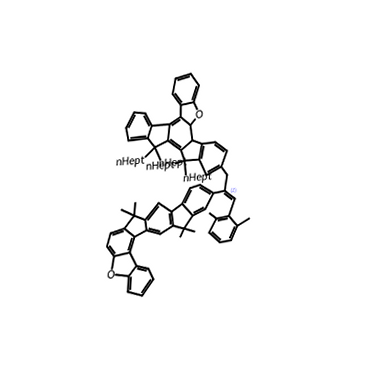 CCCCCCCC1(CCCCCCC)C2=C3C(c4ccc(C/C(=C/c5c(C)cccc5C)c5ccc6c(c5)C(C)(C)c5cc7c(cc5-6)C(C)(C)c5ccc6oc8ccccc8c6c5-7)cc4C3(CCCCCCC)CCCCCCC)C3Oc4ccccc4C3=C2c2ccccc21